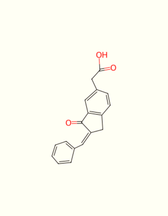 O=C(O)Cc1ccc2c(c1)C(=O)C(=Cc1ccccc1)C2